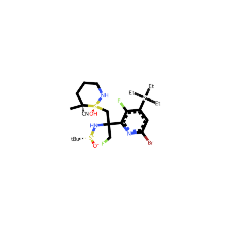 CC[Si](CC)(CC)c1cc(Br)nc(C(CF)(C[S@]2(O)NCCC[C@@]2(C)C#N)N[S@+]([O-])C(C)(C)C)c1F